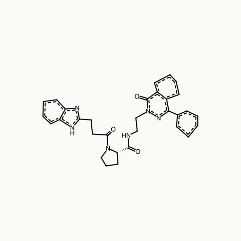 O=C(NCCn1nc(-c2ccccc2)c2ccccc2c1=O)[C@@H]1CCCN1C(=O)CCc1nc2ccccc2[nH]1